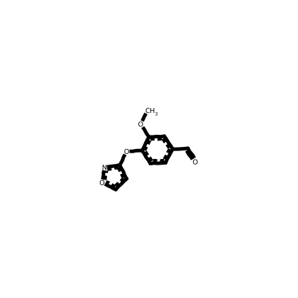 COc1cc(C=O)ccc1Oc1ccon1